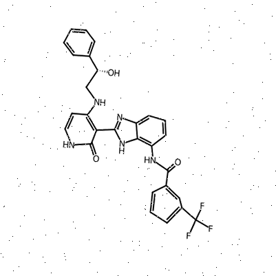 O=C(Nc1cccc2nc(-c3c(NC[C@@H](O)c4ccccc4)cc[nH]c3=O)[nH]c12)c1cccc(C(F)(F)F)c1